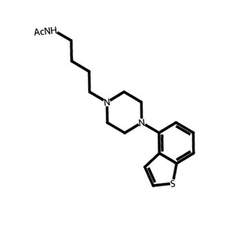 CC(=O)NCCCCN1CCN(c2cccc3sccc23)CC1